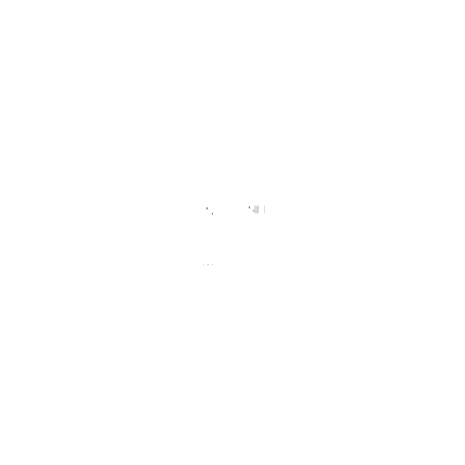 [Cl-].[Cl-].[Fe+2].c1c[nH]cn1